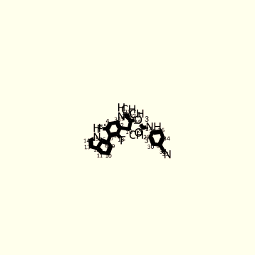 CC1c2c(cc(F)c(-c3cccc4cc[nH]c34)c2F)NC(C)(C)C1OC(=O)Nc1ccc(C#N)cc1